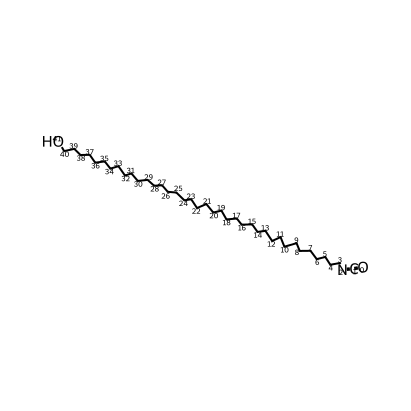 O=C=NCCCCCCCCCCCCCCCCCCCCCCCCCCCCCCCCCCCCCCO